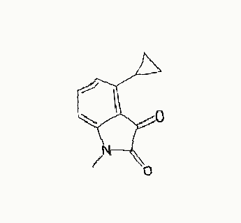 CN1C(=O)C(=O)c2c(C3CC3)cccc21